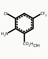 Cl.Nc1c(Cl)cc(C(F)(F)F)cc1C(=O)O